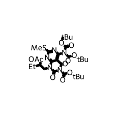 CCC(Cn1c(=O)n(C(=O)OC(C)(C)C)c(=O)c2c(N(C(=O)OC(C)(C)C)C(=O)OC(C)(C)C)nc(SC)nc21)OC(C)=O